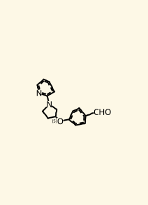 O=Cc1ccc(O[C@H]2CCN(c3ccccn3)C2)cc1